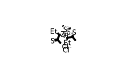 CC[CH](C(C)=S)[Zr+2]([CH](CC)C(C)=S)[SiH](C)C.[Cl-].[Cl-]